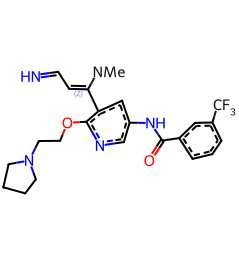 CN/C(=C\C=N)c1cc(NC(=O)c2cccc(C(F)(F)F)c2)cnc1OCCN1CCCC1